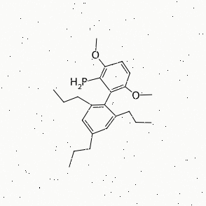 CCCc1cc(CCC)c(-c2c(OC)ccc(OC)c2P)c(CCC)c1